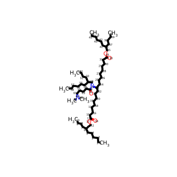 CCCCCCC(CCCC)COC(=O)CCCCCCCCC(CCCCCCCCC(=O)OCC(CCCC)CCCCCC)N(CC(CCCC)CCCCCC)C(=O)CCCCN(C)C